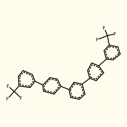 FC(F)(F)c1cccc(-c2ccc(-c3cccc(-c4ccc(-c5cccc(C(F)(F)F)c5)cc4)c3)cc2)c1